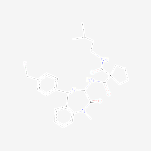 CC(C)CCNC(=O)C1(C(=O)NC2N=C(c3ccc(CF)cc3)c3ccccc3N(C)C2=O)CCCC1